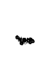 CC1c2ccc3c4c(ccc(c24)CC1c1cccc(-c2ccccc2-c2nnc(-c4ccccc4)o2)c1O)COC3